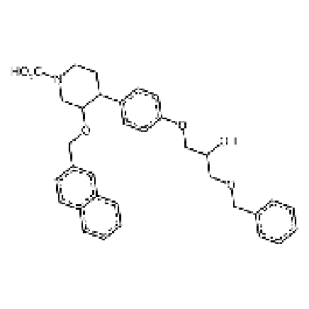 O=C(O)N1CCC(c2ccc(OCC(O)COCc3ccccc3)cc2)C(OCc2ccc3ccccc3c2)C1